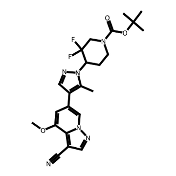 COc1cc(-c2cnn(C3CCN(C(=O)OC(C)(C)C)CC3(F)F)c2C)cn2ncc(C#N)c12